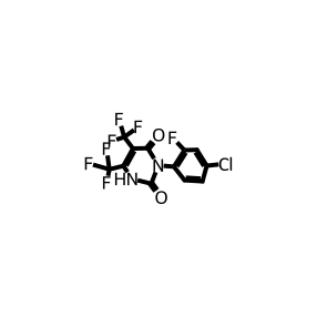 O=c1[nH]c(C(F)(F)F)c(C(F)(F)F)c(=O)n1-c1ccc(Cl)cc1F